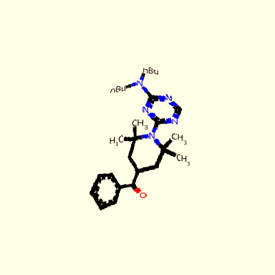 CCCCN(CCCC)c1ncnc(N2C(C)(C)CC(C(=O)c3ccccc3)CC2(C)C)n1